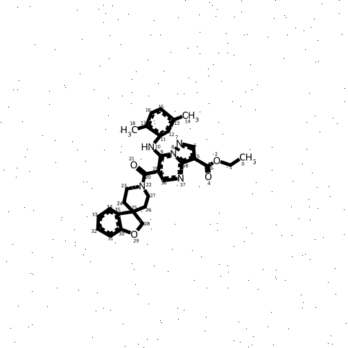 CCOC(=O)c1cnn2c(Nc3cc(C)ccc3C)c(C(=O)N3CCC4(CC3)COc3ccccc34)cnc12